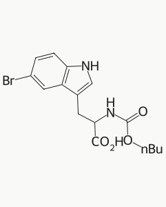 CCCCOC(=O)NC(Cc1c[nH]c2ccc(Br)cc12)C(=O)O